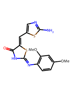 COc1ccc(N=C2NC(=O)C(=Cc3cnc(N)s3)S2)c(OC)c1